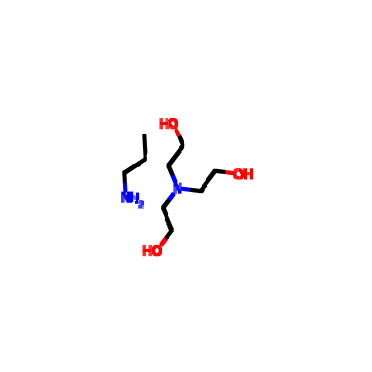 CCCN.OCCN(CCO)CCO